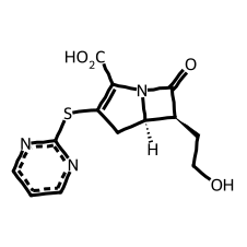 O=C(O)C1=C(Sc2ncccn2)C[C@@H]2[C@H](CCO)C(=O)N12